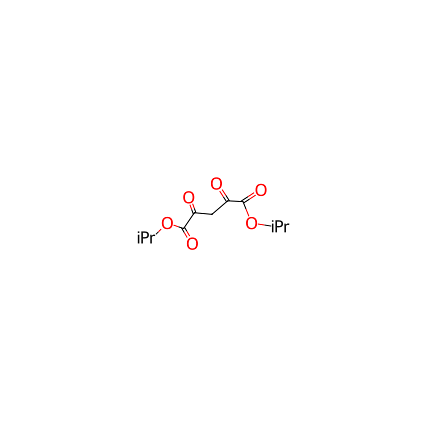 CC(C)OC(=O)C(=O)CC(=O)C(=O)OC(C)C